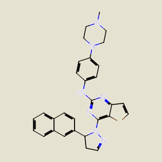 CN1CCN(c2ccc(Nc3nc(N4N=CCC4c4ccc5ccccc5c4)c4sccc4n3)cc2)CC1